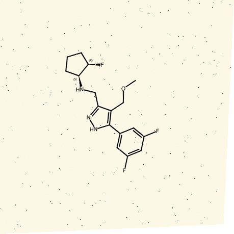 COCc1c(CN[C@H]2CCC[C@H]2F)n[nH]c1-c1cc(F)cc(F)c1